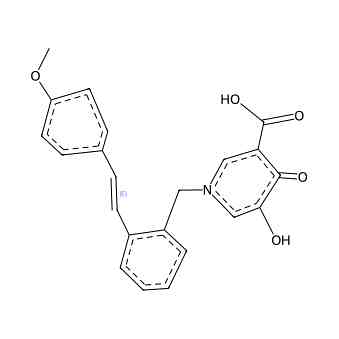 COc1ccc(/C=C/c2ccccc2Cn2cc(O)c(=O)c(C(=O)O)c2)cc1